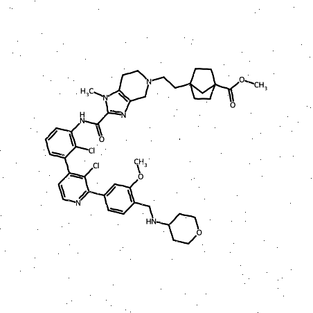 COC(=O)C12CCC(CCN3CCc4c(nc(C(=O)Nc5cccc(-c6ccnc(-c7ccc(CNC8CCOCC8)c(OC)c7)c6Cl)c5Cl)n4C)C3)(CC1)C2